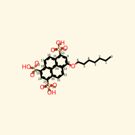 CCCCCCCOc1cc(S(=O)(=O)O)c2ccc3c(S(=O)(=O)O)cc(S(=O)(=O)O)c4ccc1c2c43